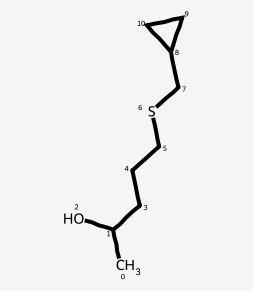 CC(O)CCCSCC1CC1